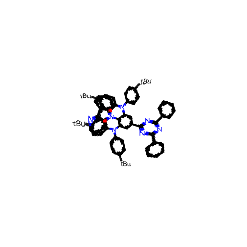 CC(C)(C)c1ccc(N(c2ccc(C(C)(C)C)cc2)c2cc(-c3nc(-c4ccccc4)nc(-c4ccccc4)n3)cc(N(c3ccc(C(C)(C)C)cc3)c3ccc(C(C)(C)C)cc3)c2-n2c3ccccc3c3ncccc32)cc1